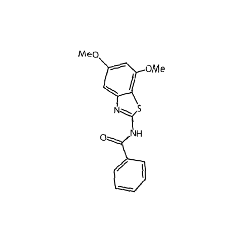 COc1cc(OC)c2sc(NC(=O)c3ccccc3)nc2c1